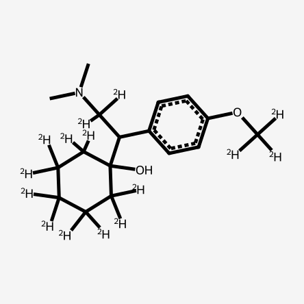 [2H]C([2H])([2H])Oc1ccc(C(C([2H])([2H])N(C)C)C2(O)C([2H])([2H])C([2H])([2H])C([2H])([2H])C([2H])([2H])C2([2H])[2H])cc1